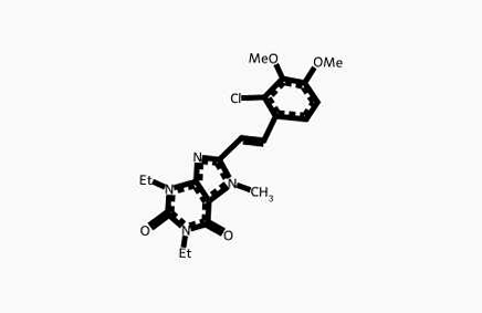 CCn1c(=O)c2c(nc(/C=C/c3ccc(OC)c(OC)c3Cl)n2C)n(CC)c1=O